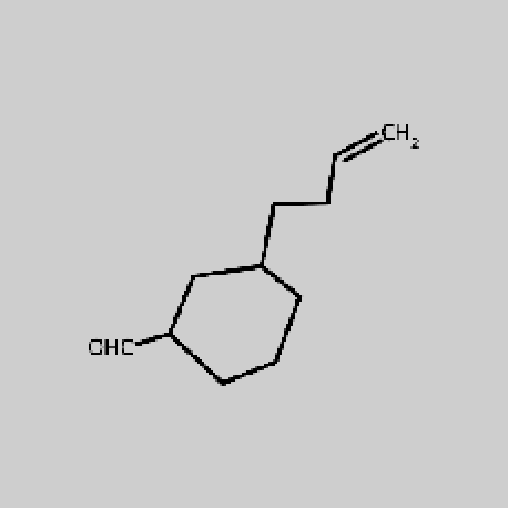 C=CCCC1CCCC(C=O)C1